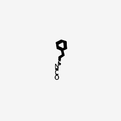 O=C=NSCCc1ccccc1